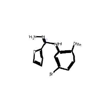 COc1ccc(Br)cc1N/C(=N/N)c1ccco1